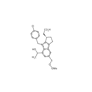 COOSc1cc(C(C)O)c2c(c1)c1c(n2Cc2ccc(Cl)cc2)[C@@H](CC(=O)O)CC1